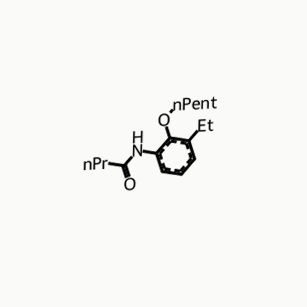 CCCCCOc1c(CC)cccc1NC(=O)CCC